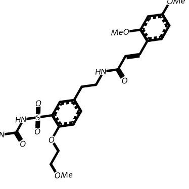 CNC(=O)NS(=O)(=O)c1cc(CCNC(=O)C=Cc2ccc(OC)cc2OC)ccc1OCCOC